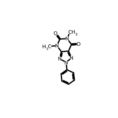 Cn1c(=O)c2nn(-c3ccccc3)nc2n(C)c1=O